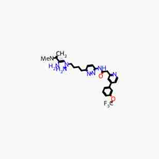 C=C(NC)/C(N)=C/N(N)CCCCc1ccc(NC(=O)Cc2cc(-c3cccc(OC(F)(F)F)c3)ccn2)nn1